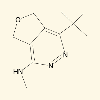 CNc1nnc(C(C)(C)C)c2c1COC2